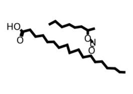 CCCCCCC(C)ON=O.CCCCCCCCCCCCCCCCCC(=O)O